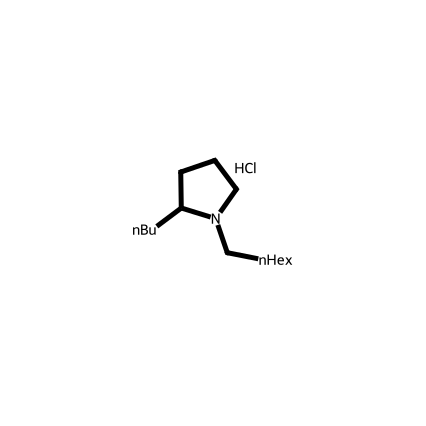 CCCCCCCN1CCCC1CCCC.Cl